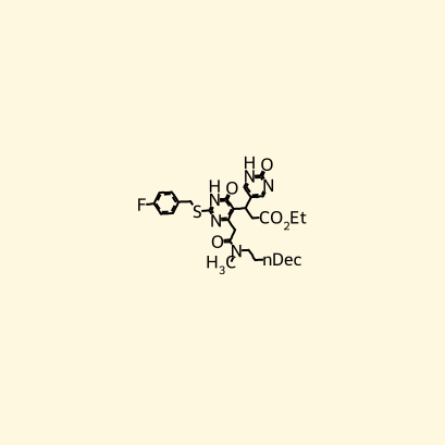 CCCCCCCCCCCCN(C)C(=O)Cc1nc(SCc2ccc(F)cc2)[nH]c(=O)c1C(CC(=O)OCC)c1cnc(=O)[nH]c1